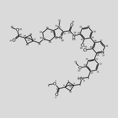 COC(=O)C12CC(CNCc3ccc(-c4nccc(-c5cccc(NC(=O)c6nc7c(n6C)CCN(CC68CC(C(=O)OC)(C6)C8)C7)c5Cl)c4Cl)cc3OC)(C1)C2